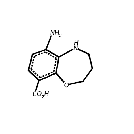 Nc1ccc(C(=O)O)c2c1NCCCO2